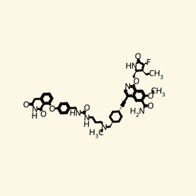 CC[C@@H]1[C@H](F)C(=O)N[C@@H]1COc1ncc(C#C[C@H]2CC[C@H](CN(C)CCCNC(=O)NCc3ccc(Oc4cccc5c4C(=O)NC(=O)C5)cc3)CC2)c2cc(C(N)=O)c(OC)cc12